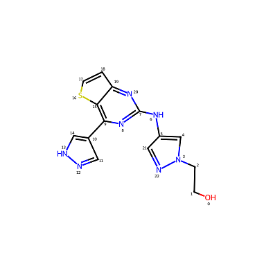 OCCn1cc(Nc2nc(-c3cn[nH]c3)c3sccc3n2)cn1